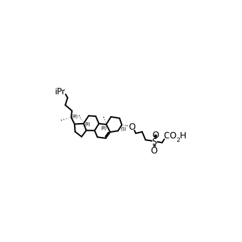 CC(C)CCC[C@@H](C)C1CCC2C3CC=C4C[C@@H](OCCCS(=O)(=O)CC(=O)O)CC[C@]4(C)C3CC[C@@]21C